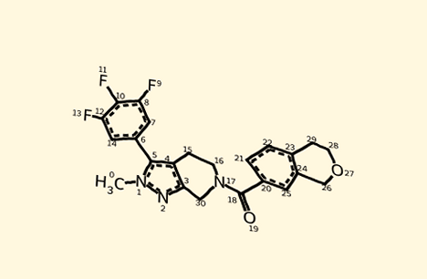 Cn1nc2c(c1-c1cc(F)c(F)c(F)c1)CCN(C(=O)c1ccc3c(c1)COCC3)C2